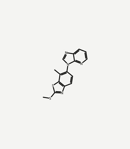 CSc1nc2ccc(-n3cnc4cccnc43)c(C)c2s1